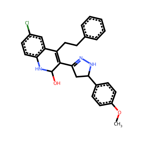 COc1ccc(C2CC(C3=C(CCc4ccccc4)c4cc(Cl)ccc4NC3O)=NN2)cc1